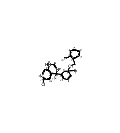 NC1(C2=CC=CC(Br)(OCc3ccccc3F)C2)N=CNc2cnc(Cl)cc21